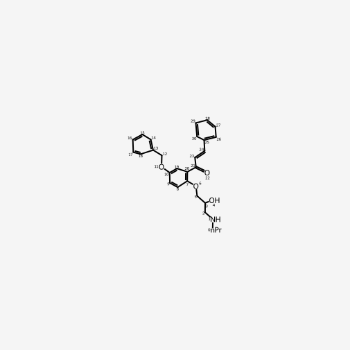 CCCNCC(O)COc1ccc(OCc2ccccc2)cc1C(=O)C=Cc1ccccc1